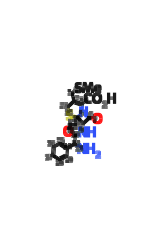 CSCC1=C(C(=O)O)N2C(=O)C(NC(=O)C(N)c3ccccc3)[C@@H]2SC1